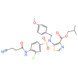 COc1ccc(CN(c2scnc2C(=O)OCC(C)C)S(=O)(=O)c2ccc(NC(=O)CCC#N)c(F)c2)cc1